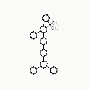 CC1(C)c2ccccc2-c2cc(-c3ccccc3)c(-c3ccc(-c4ccc(-c5cc(-c6ccccc6)cc(-c6ccccc6)n5)cc4)cc3)cc21